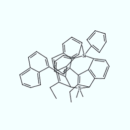 CCC1=C(c2cccc3ccccc23)c2c3cccc2[Si](C)(c2ccccc2)c2cccc4c2C(c2cccc5ccccc25)=C(CC)[CH]4[Ti]([CH3])([CH3])[CH]13